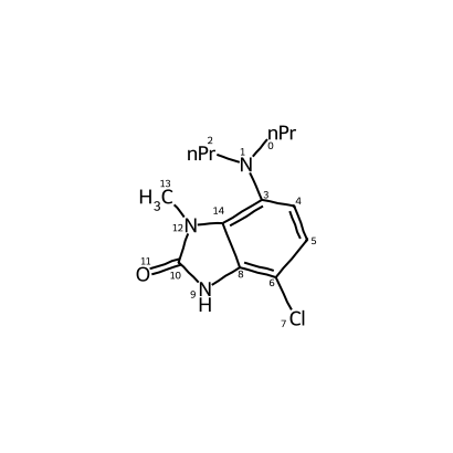 CCCN(CCC)c1ccc(Cl)c2[nH]c(=O)n(C)c12